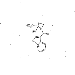 CC(C)C1(C(=O)O)CCN1C(=O)c1csc2ccccc12